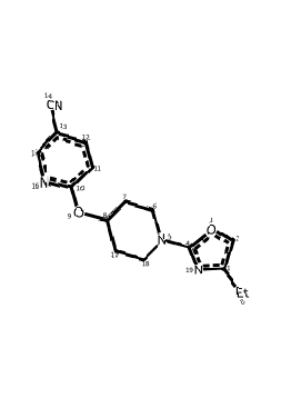 CCc1coc(N2CCC(Oc3ccc(C#N)cn3)CC2)n1